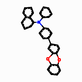 c1ccc(N(c2ccc(-c3ccc4c(c3)Oc3ccccc3O4)cc2)c2cccc3ccccc23)cc1